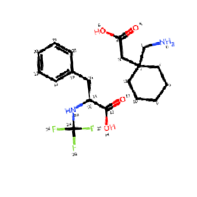 NCC1(CC(=O)O)CCCCC1.O=C(O)[C@H](Cc1ccccc1)NC(F)(F)F